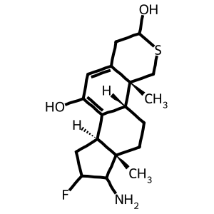 C[C@]12CSC(O)CC1=CC(O)=C1[C@H]2CC[C@]2(C)C(N)C(F)C[C@@H]12